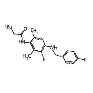 Cc1cc(NCc2ccc(F)cc2)c(F)c(C)c1NC(=O)CC(C)(C)C